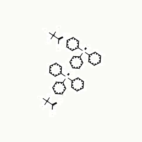 N=P(c1ccccc1)(c1ccccc1)c1ccccc1.N=P(c1ccccc1)(c1ccccc1)c1ccccc1.O=C(O)C(F)(F)F.O=C(O)C(F)(F)F